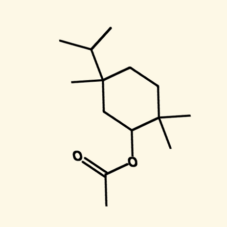 CC(=O)OC1CC(C)(C(C)C)CCC1(C)C